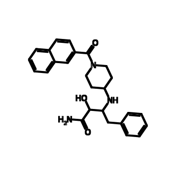 NC(=O)C(O)C(Cc1ccccc1)NC1CCN(C(=O)c2ccc3ccccc3c2)CC1